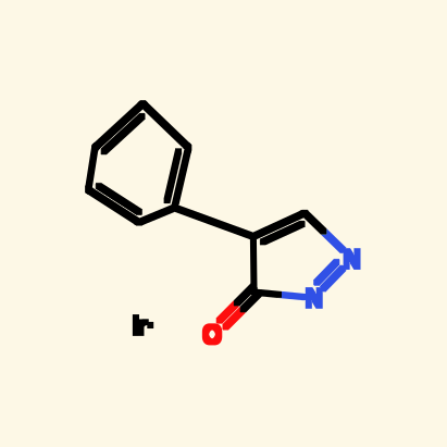 O=C1N=NC=C1c1ccccc1.[Ir]